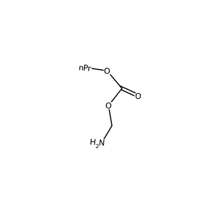 CCCOC(=O)OCN